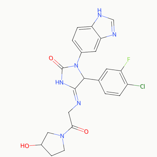 O=C(CN=C1NC(=O)N(c2ccc3[nH]cnc3c2)C1c1ccc(Cl)c(F)c1)N1CCC(O)C1